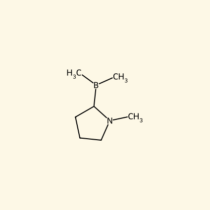 CB(C)C1CCCN1C